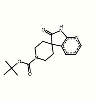 CC(C)(C)OC(=O)N1CCC2(CC1)C(=O)Nc1ncccc12